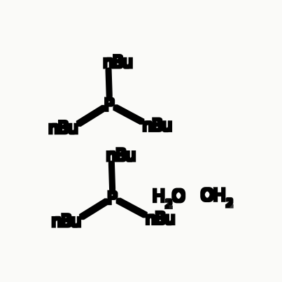 CCCCP(CCCC)CCCC.CCCCP(CCCC)CCCC.O.O